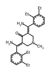 CCc1cccc(C(N)=C2CN(C)CC(=C(N)c3cccc(CC)c3CC)C2=O)c1CC